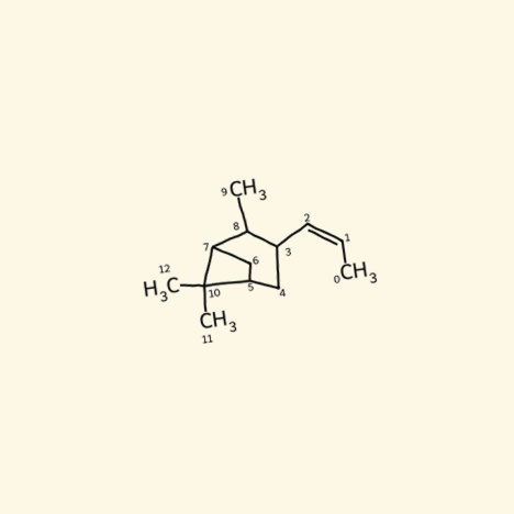 C/C=C\C1CC2CC(C1C)C2(C)C